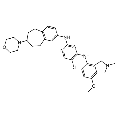 COc1ccc(Nc2nc(Nc3ccc4c(c3)CCC(N3CCOCC3)CC4)ncc2Cl)c2c1CN(C)C2